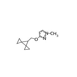 Cn1ccc(OCC2C3(CC3)C23CC3)n1